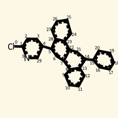 Clc1ccc(-c2cc3c4ccccc4c(-c4ccccc4)cc3c3ccccc23)cn1